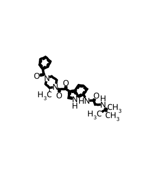 C[C@@H]1CN(C(=O)c2ccccc2)CCN1C(=O)C(=O)c1c[nH]c2c(NC(=O)CNC(C)(C)C)cccc12